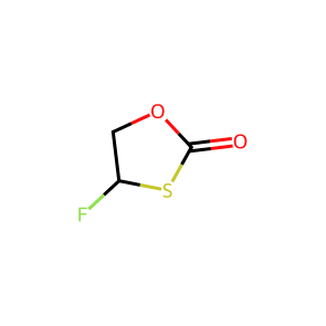 O=C1OCC(F)S1